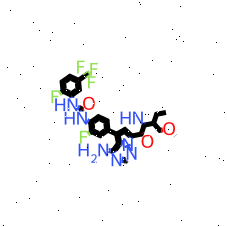 CCC(COC)C(=N)C(=O)c1cc(-c2ccc(NC(=O)Nc3cc(C(F)(F)F)ccc3F)c(F)c2)c2c(N)ncnn12